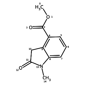 COC(=O)c1cccc2c1CC(=O)N2C